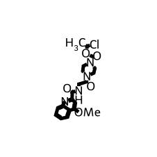 COc1cc(C(=O)NCC(=O)N2CCN(C(=O)OC(C)Cl)CC2)nc2ccccc12